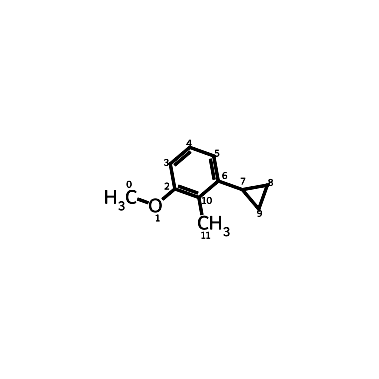 COc1cccc(C2CC2)c1C